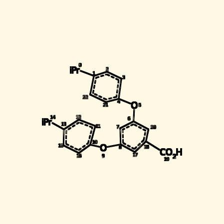 CC(C)c1ccc(Oc2cc(Oc3ccc(C(C)C)cc3)cc(C(=O)O)c2)cc1